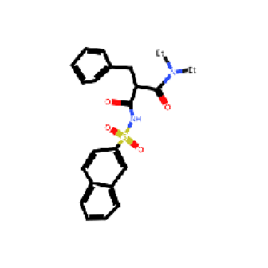 CCN(CC)C(=O)C(Cc1ccccc1)C(=O)NS(=O)(=O)c1ccc2ccccc2c1